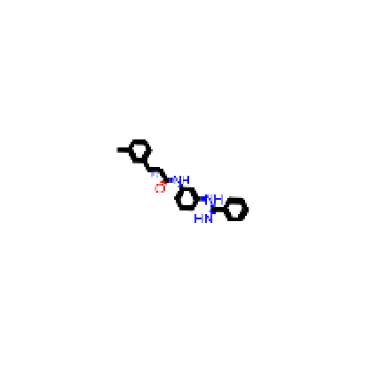 Cc1cccc(/C=C/C(=O)Nc2cccc(NC(=N)c3ccccc3)c2)c1